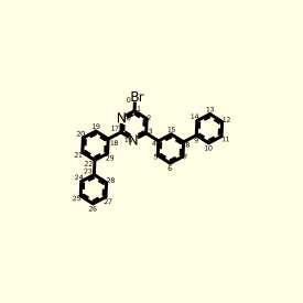 Brc1cc(-c2cccc(-c3ccccc3)c2)nc(-c2cccc(-c3ccccc3)c2)n1